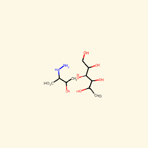 CC(O)C(NN)C(=O)O.O=CC(O)C(O)C(O)C(O)CO